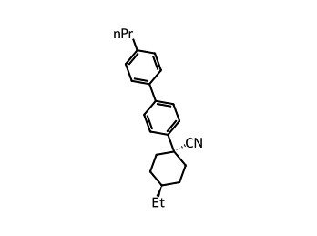 CCCc1ccc(-c2ccc([C@]3(C#N)CC[C@H](CC)CC3)cc2)cc1